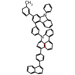 CC1C=C(c2cc(-c3cccc(N(c4ccc(-c5ccc(-c6cccc7ccccc67)cc5)cc4)c4ccccc4-c4ccccc4)c3)c3c4ccccc4n(-c4ccccc4)c3c2)C=CC1